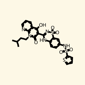 CC(C)CCn1c(=O)c(C2=NS(=O)(=O)c3cc(NS(=O)(=O)c4cccs4)ccc3N2)c(O)c2cccnc21